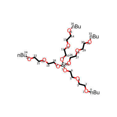 CCCCOCCOCCO[Si](OCCOCCOCCCC)(OCCOCCOCCCC)OCCOCCOCCCC